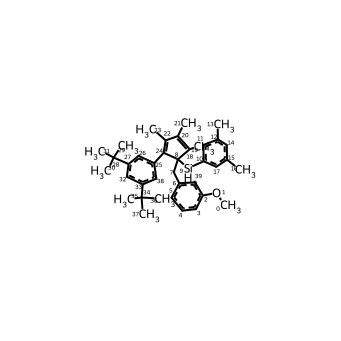 COc1cccc(CC2([SiH2]c3cc(C)cc(C)c3)C(C)=C(C)C(C)=C2c2cc(C(C)(C)C)cc(C(C)(C)C)c2)c1